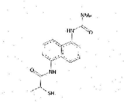 CNC(=O)Nc1cccc2c(NC(=O)C(C)S)cccc12